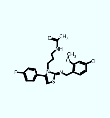 COc1cc(Cl)ccc1C/N=c1\scc(-c2ccc(F)cc2)n1CCCNC(C)=O